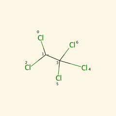 Cl[C](Cl)C(Cl)(Cl)Cl